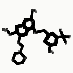 COc1cc2nc(C)nc(NCc3cc(N)cc(C(F)(F)F)c3)c2cc1OC[C@@H]1COCCO1